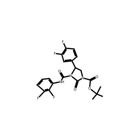 CC(C)(C)OC(=O)N1CC(c2ccc(F)c(F)c2)N(C(=O)Nc2cccc(F)c2F)C1=O